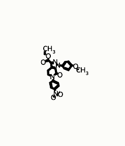 CCOC(=O)c1nn(-c2ccc(OC)cc2)c2c1CCN(c1ccc([N+](=O)[O-])cc1)C2=O